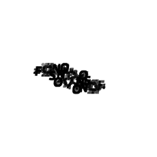 O=C1c2ccc3c4c(ccc(c24)C(=O)N1c1nc2ccc(F)cc2s1)C(=O)N(c1nc2ccc(F)cc2s1)C3=O